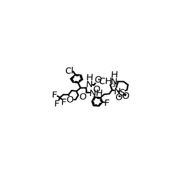 COC(=O)NC(C(=O)Nc1cccc(F)c1CCC1CNC2CCCS(=O)(=O)N1C2)C(c1ccc(Cl)cc1)C1CCOC(CC(F)(F)F)C1